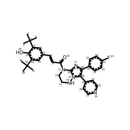 CC(C)(C)c1cc(C=CC(=O)N2CCNn3c2nc(-c2ccc(F)cc2)c3-c2ccncc2)cc(C(C)(C)C)c1O